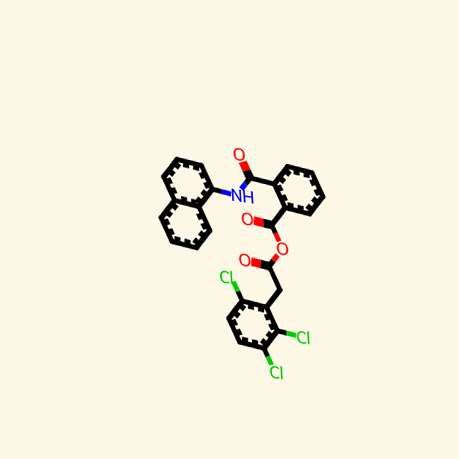 O=C(Cc1c(Cl)ccc(Cl)c1Cl)OC(=O)c1ccccc1C(=O)Nc1cccc2ccccc12